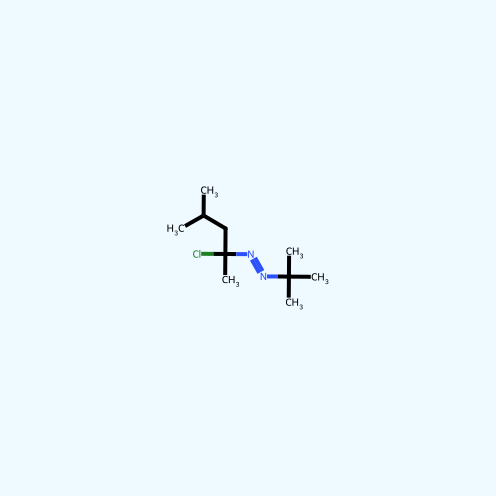 CC(C)CC(C)(Cl)/N=N/C(C)(C)C